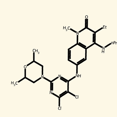 CCCNc1c(CC)c(=O)n(C)c2ccc(Nc3nc(N4CC(C)OC(C)C4)nc(Cl)c3Cl)cc12